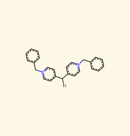 CCC(c1cc[n+](Cc2ccccc2)cc1)c1cc[n+](Cc2ccccc2)cc1